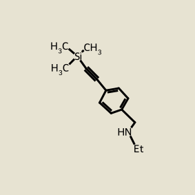 CCNCc1ccc(C#C[Si](C)(C)C)cc1